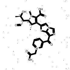 C[C@@H](O)[C@@H](C=O)[C@H]1[C@@H](C)C(c2cn3cnc(C(=O)c4ccc[n+](CC(N)=O)c4)c3s2)=C(C(=O)O)N1C